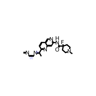 C=N/C=C\N=C(/C)c1ccc2cnc(NC(=O)C3(F)CCN(C)CC3)cc2n1